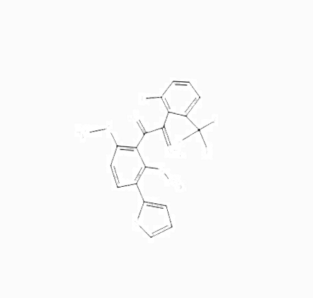 C=C(C(=O)c1c(OC)ccc(-c2cccs2)c1OC)c1c(F)cccc1C(F)(F)F